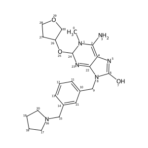 CN1C(N)=c2nc(O)n(Cc3cccc(CN4CCCC4)c3)c2=NC1OC1CCOC1